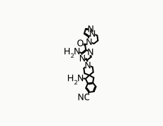 N#Cc1ccc2c(c1)C(N)C1(CCN(c3cnc(C(=O)N4CCCn5nccc54)c(N)n3)CC1)C2